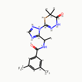 CC(NC(=O)c1cc(C(F)(F)F)cc(C(F)(F)F)c1)c1ncnn1C1=NNC(=O)C(C)(C)S1